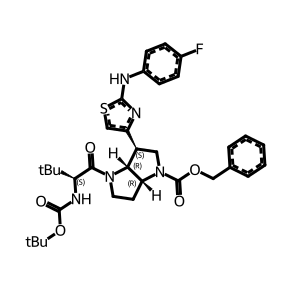 CC(C)(C)OC(=O)N[C@H](C(=O)N1CC[C@@H]2[C@H]1[C@@H](c1csc(Nc3ccc(F)cc3)n1)CN2C(=O)OCc1ccccc1)C(C)(C)C